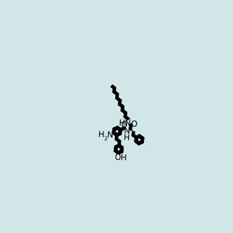 CCCCCCCCCCCCNC(=O)[C@H](CCc1ccccc1)NC(=O)c1ccc(N)c(CCc2ccc(O)cc2)c1